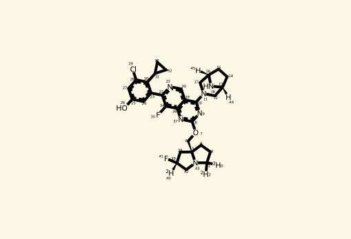 [2H]C1([2H])CC[C@@]2(COc3nc(N4C[C@H]5CC[C@@H](C4)N5)c4cnc(-c5cc(O)cc(Cl)c5C5CC5)c(F)c4n3)C[C@@]([2H])(F)CN12